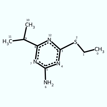 CCSc1nc(N)nc(C(C)C)n1